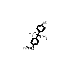 CCCOc1ccc(C(C)(C)c2ccc(CC)cc2)cc1